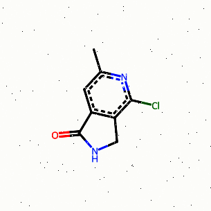 Cc1cc2c(c(Cl)n1)CNC2=O